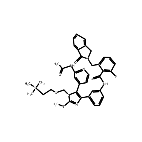 CSc1nc(-c2cccc(NC(=O)c3c(F)cccc3CN3Cc4ccccc4C3=O)c2)c(-c2ccnc(NC(C)=O)c2)n1COCC[Si](C)(C)C